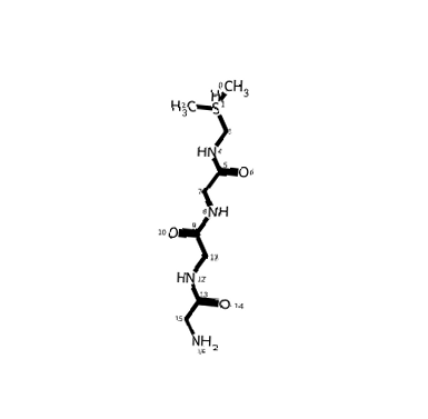 C[SH](C)CNC(=O)CNC(=O)CNC(=O)CN